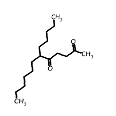 CCCCCCC(CCCCC)C(=O)CCC(C)=O